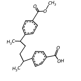 COC(=O)c1ccc(C(C)CCC(C)c2ccc(C(=O)O)cc2)cc1